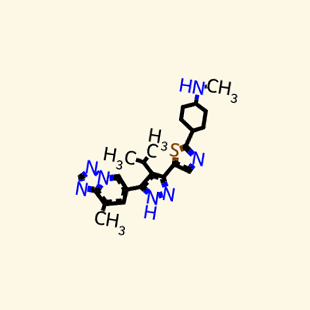 CNC1CCC(c2ncc(-c3n[nH]c(-c4cc(C)c5ncnn5c4)c3C(C)C)s2)CC1